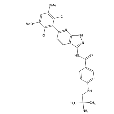 COc1cc(OC)c(Cl)c(-c2ccc3c(NC(=O)c4ccc(NCC(C)(C)N)cc4)n[nH]c3n2)c1Cl